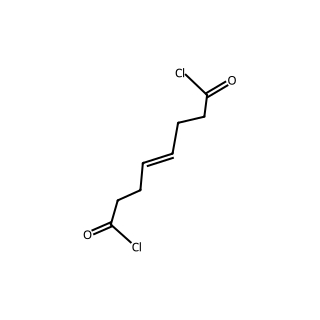 O=C(Cl)CC/C=C/CCC(=O)Cl